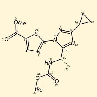 COC(=O)c1cnc(-n2nc(C3CC3)nc2[C@H](C)NC(=O)OC(C)(C)C)s1